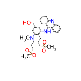 CN(CCCS(C)(=O)=O)c1cc(CO)cc(Nc2c3ccccc3nc3ccccc23)c1CCCS(C)(=O)=O